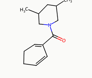 CC1CC(C)CN(C(=O)C2=CCCC=C2)C1